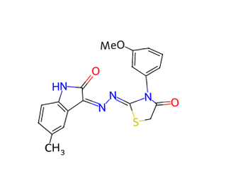 COc1cccc(N2C(=O)CSC2=NN=C2C(=O)Nc3ccc(C)cc32)c1